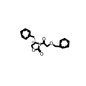 O=C(COCc1ccccc1)N1C(=O)OC[C@@H]1Cc1ccccc1